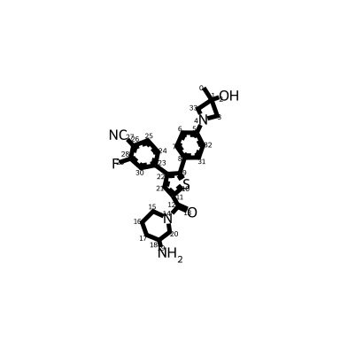 CC1(O)CN(c2ccc(-c3sc(C(=O)N4CCCC(N)C4)cc3-c3ccc(C#N)c(F)c3)cc2)C1